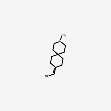 CN1CCC2(CCC(=CC#N)CC2)CC1